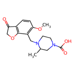 COc1ccc2c(c1CN1CCN(C(=O)O)CC1C)OCC2=O